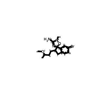 COC(C)CCC1Cc2ccc(Br)cc2C12N=C(N)N(C)O2